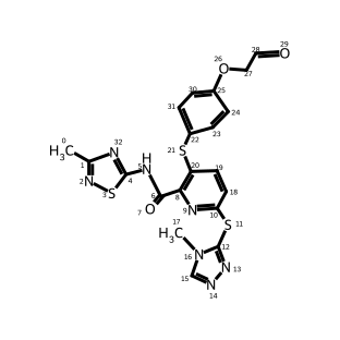 Cc1nsc(NC(=O)c2nc(Sc3nncn3C)ccc2Sc2ccc(OCC=O)cc2)n1